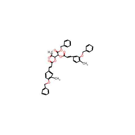 CC(=O)C(OC(=O)/C=C/c1ccc(OCc2ccccc2)c(C)c1)C(OC(=O)/C=C/c1ccc(C)c(OCc2ccccc2)c1)C(=O)OCc1ccccc1